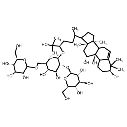 C[C@H](CC[C@@H](O[C@@H]1O[C@H](COC2O[C@H](CO)[C@@H](O)[C@H](O)[C@H]2O)[C@@H](O)[C@H](O)[C@H]1O[C@@H]1O[C@H](CO)[C@@H](O)[C@H](O)[C@H]1O)C(C)(C)O)C1CC[C@@]2(C)C3CC=C4C(CC[C@H](O)C4(C)C)[C@]3(C)[C@H](O)C[C@]12C